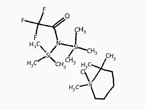 CC1(C)CCCC[Si]1(C)Cl.C[Si](C)(C)N(C(=O)C(F)(F)F)[Si](C)(C)C